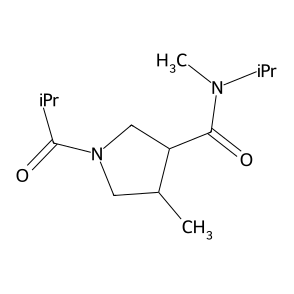 CC(C)C(=O)N1CC(C)C(C(=O)N(C)C(C)C)C1